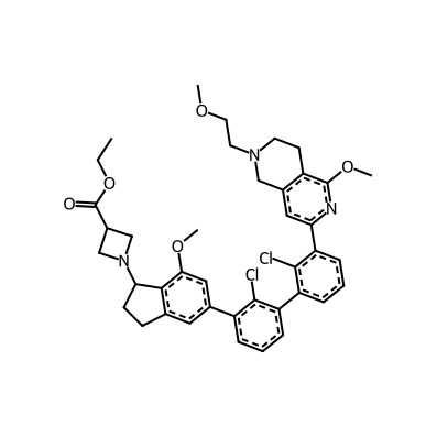 CCOC(=O)C1CN(C2CCc3cc(-c4cccc(-c5cccc(-c6cc7c(c(OC)n6)CCN(CCOC)C7)c5Cl)c4Cl)cc(OC)c32)C1